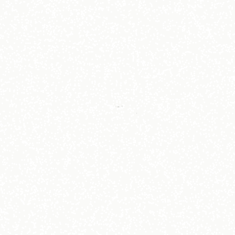 CCCC[C]1([Hf]([CH3])([CH3])([CH3])([CH3])([CH3])([CH3])([CH3])[CH]2C=CC=C2)C=Cc2cc3c(cc21)CCC3